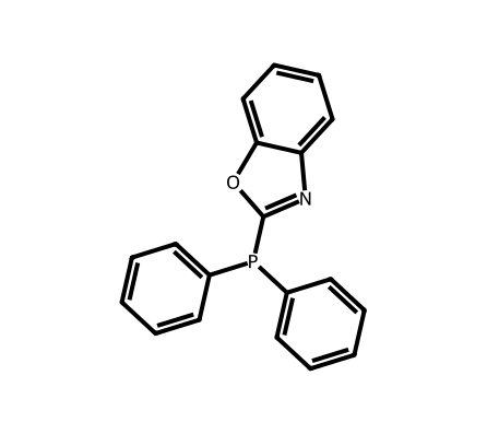 c1ccc(P(c2ccccc2)c2nc3ccccc3o2)cc1